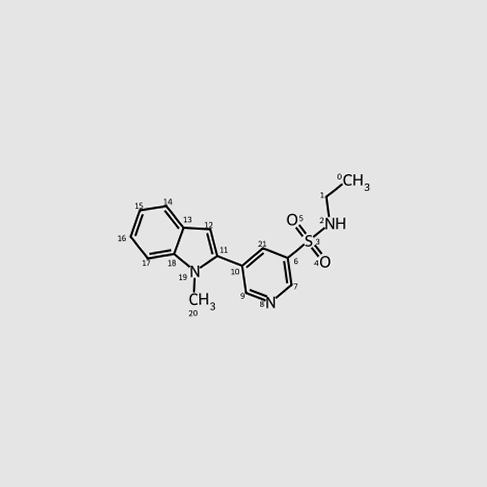 CCNS(=O)(=O)c1cncc(-c2cc3ccccc3n2C)c1